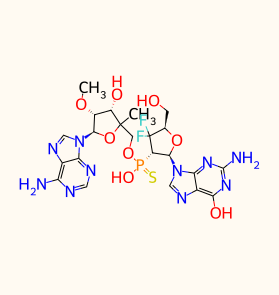 CO[C@H]1[C@H](n2cnc3c(N)ncnc32)OC(C)(COP(O)(=S)[C@H]2[C@H](n3cnc4c(O)nc(N)nc43)O[C@H](CO)C2(F)F)[C@H]1O